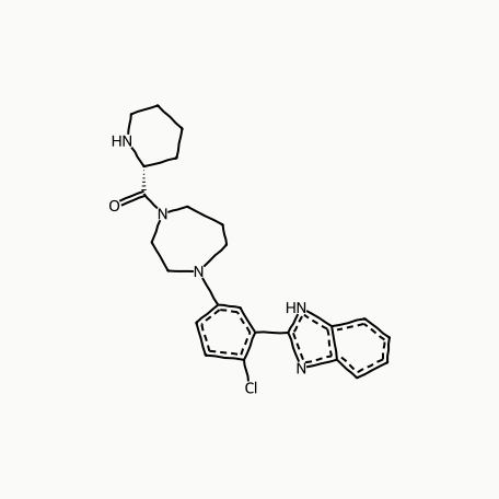 O=C([C@H]1CCCCN1)N1CCCN(c2ccc(Cl)c(-c3nc4ccccc4[nH]3)c2)CC1